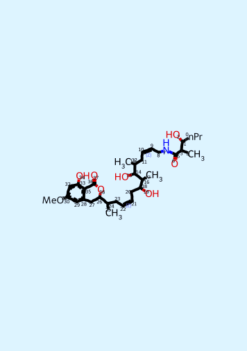 CCCC(O)C(C)C(=O)NC/C=C\CC(C)C(O)C(C)C(O)C/C=C\CC(C)C1Cc2cc(OC)cc(O)c2C(=O)O1